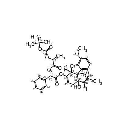 COc1ccc2c3c1O[C@H]1C(OC(=O)[C@@H](OC(=O)C(C)OC(=O)OC(C)(C)C)c4ccccc4)=CC[C@@]4(O)[C@@H](C2)N(C)CC[C@]314